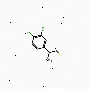 C[C](CF)c1ccc(Cl)c(Cl)c1